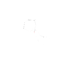 CCO[Si]1(OCC)CCCCCS1